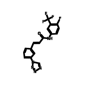 O=C(C=Cc1cccc(-n2cnnn2)c1)Nc1ccc(F)c(C(F)(F)F)c1